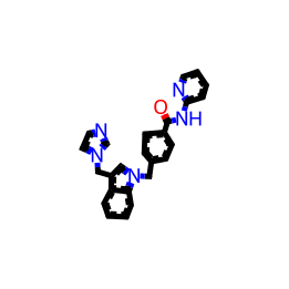 O=C(Nc1ccccn1)c1ccc(Cn2cc(Cn3ccnc3)c3ccccc32)cc1